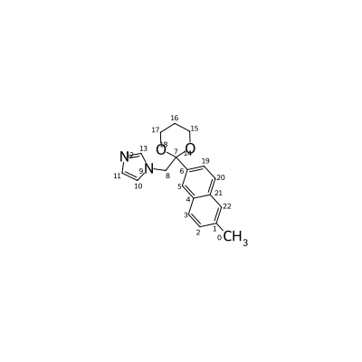 Cc1ccc2cc(C3(Cn4ccnc4)OCCCO3)ccc2c1